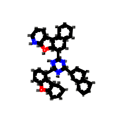 c1ccc2cc(-c3nc(-c4cc5ccccc5c5c4oc4ncccc45)nc(-c4cccc5oc6ccccc6c45)n3)ccc2c1